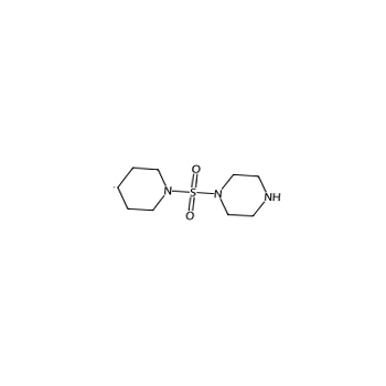 O=S(=O)(N1CC[CH]CC1)N1CCNCC1